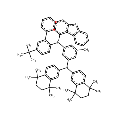 Cc1cc(N(c2ccc3c(c2)C(C)(C)CCC3(C)C)c2ccc3c(c2)C(C)(C)CCC3(C)C)cc(N(c2ccc(C(C)(C)C)cc2-c2ccccc2)c2cccc3oc4ccccc4c23)c1